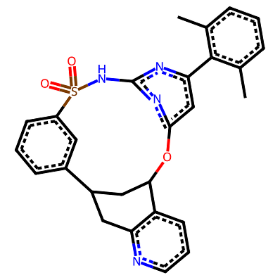 Cc1cccc(C)c1-c1cc2nc(n1)NS(=O)(=O)c1cccc(c1)C1Cc3ncccc3C(C1)O2